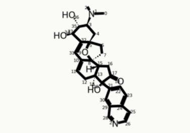 CN(C)[C@H]1C[C@@]23CC[C@@]4(O2)C(=CC[C@@]2(C)[C@H]4CC(=O)[C@]2(O)c2ccc4ccncc4c2)C=C3[C@@H](O)[C@@H]1O